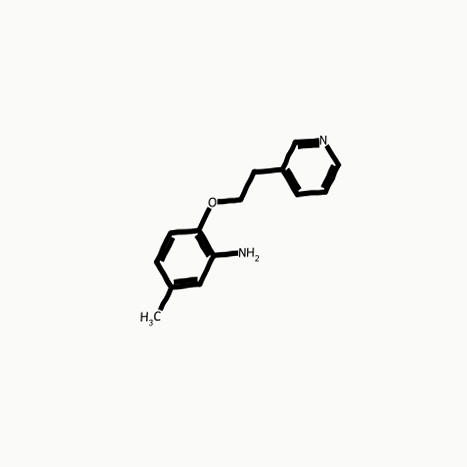 Cc1ccc(OCCc2cccnc2)c(N)c1